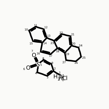 Cl.NC1=CCS(=O)(=O)C=C1.c1ccc2c(c1)ccc1c3c(ccc12)CCCC3